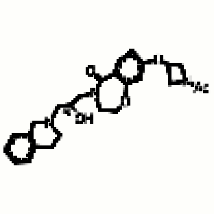 CC(=O)N1CC(Oc2ccc3c(c2)OCCN(C[C@H](O)CN2CCc4ccccc4C2)C3=O)C1